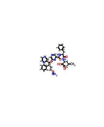 CC(C)C[C@H](NC(=O)[C@H](Cc1ccccc1)NC(=O)c1cnccn1)B(O)O.NOCC[C@H](C(=O)c1cnccn1)c1ccccc1